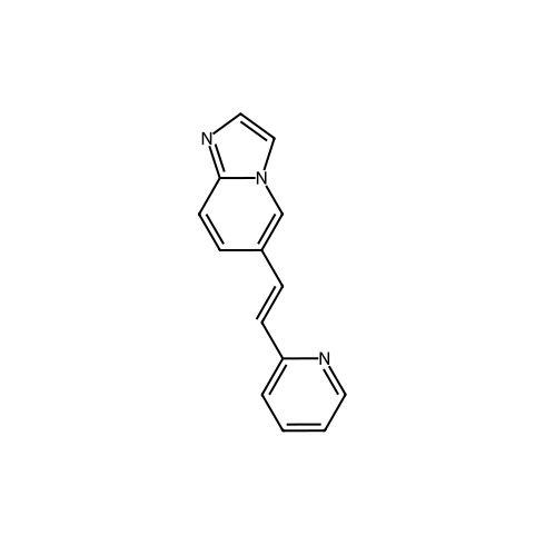 C(=Cc1ccccn1)c1ccc2nccn2c1